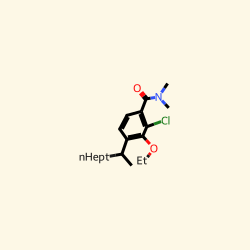 CCCCCCCC(C)c1ccc(C(=O)N(C)C)c(Cl)c1OCC